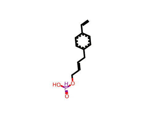 C=Cc1ccc(CC=CCO[PH](=O)O)cc1